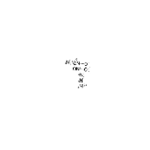 O=N[O-].O=N[O-].[N].[N].[N].[N].[Ni+2]